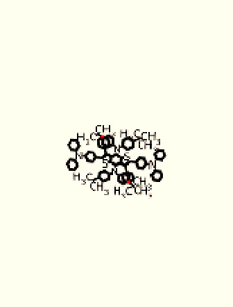 CC(C)c1ccc(N(c2ccc(C(C)(C)C)cc2)c2c3sc(-c4ccc(N(c5ccccc5)c5ccccc5)cc4)c(-c4ccccc4)c3c(N(c3ccc(C(C)C)cc3)c3ccc(C(C)(C)C)cc3)c3sc(-c4ccc(N(c5ccccc5)c5ccccc5)cc4)c(-c4ccccc4)c23)cc1